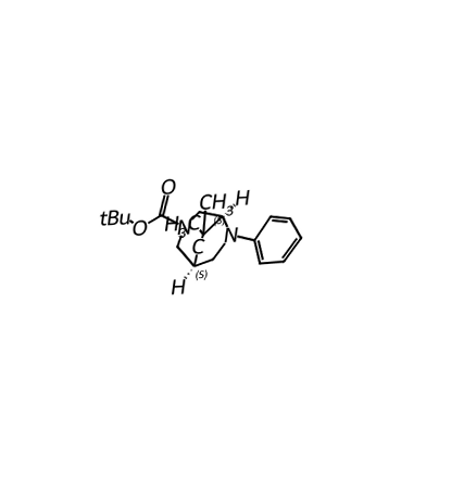 CC(C)(C)OC(=O)N1C[C@@H]2CN(c3ccccc3)[C@H](C1)C(C)(C)C2